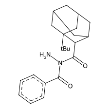 CC(C)(C)C12CC3CC(CC(C3)C1C(=O)N(N)C(=O)c1ccccc1)C2